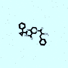 CC(Cc1ccccc1)C(=O)N1CCc2nc(C3(c4ccccc4)CC3)[nH]c(=O)c2C1